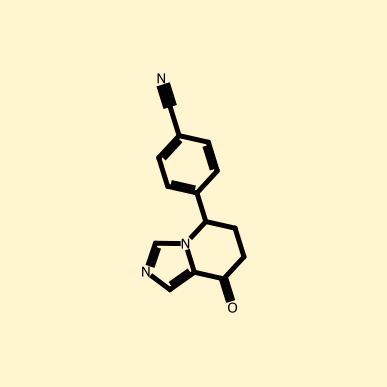 N#Cc1ccc(C2CCC(=O)c3cncn32)cc1